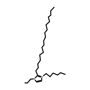 CCCCCCCCCCCCCCCCCCc1n(CCC)cc[n+]1CCCCCC